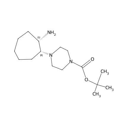 CC(C)(C)OC(=O)N1CCN([C@@H]2CCCCC[C@@H]2N)CC1